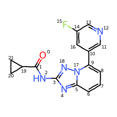 O=C(Nc1nc2cccc(-c3cncc(F)c3)n2n1)C1CC1